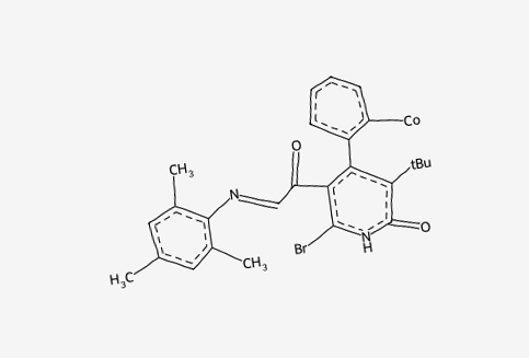 Cc1cc(C)c(N=CC(=O)c2c(Br)[nH]c(=O)c(C(C)(C)C)c2-c2cccc[c]2[Co])c(C)c1